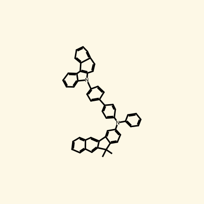 CC1(C)c2ccc(N(c3ccccc3)c3ccc(-c4ccc(-n5c6ccccc6c6c7ccccc7ccc65)cc4)cc3)cc2-c2cc3ccccc3cc21